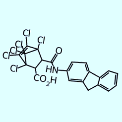 O=C(O)C1C(C(=O)Nc2ccc3c(c2)Cc2ccccc2-3)C2(Cl)C(Cl)=C(Cl)C1(Cl)C2(Cl)Cl